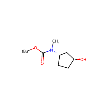 CN(C(=O)OC(C)(C)C)[C@H]1CC[C@H](O)C1